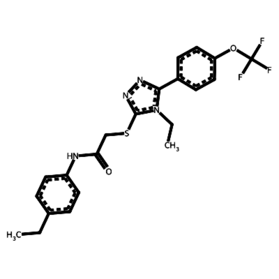 CCc1ccc(NC(=O)CSc2nnc(-c3ccc(OC(F)(F)F)cc3)n2CC)cc1